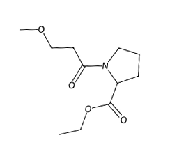 CCOC(=O)C1CCCN1C(=O)CCOC